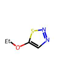 CCOc1cnns1